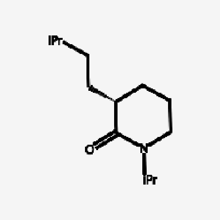 CC(C)CC[C@@H]1CCCN(C(C)C)C1=O